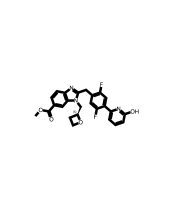 COC(=O)c1ccc2nc(Cc3cc(F)c(-c4cccc(O)n4)cc3F)n(C[C@@H]3CCO3)c2c1